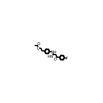 CC(=O)OCCc1ccc(NC(=N)CC(=O)c2ccc(F)cc2)cc1